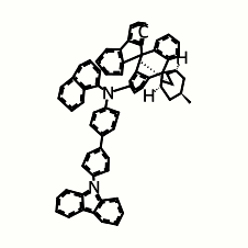 C[C@H]1C[C@@H]2C[C@@H](C)C[C@H](C1)C21c2ccccc2C2(c3ccccc3-c3ccccc32)c2cc(N(c3ccc(-c4ccc(-n5c6ccccc6c6ccccc65)cc4)cc3)c3cccc4ccccc34)ccc21